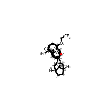 CC(C)c1ccc(OCC(F)(F)F)n2nc(N[C@@H]3[C@@H]4CC[C@H]3CN(c3ccnc(Cl)c3)C4)nc12